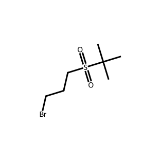 CC(C)(C)S(=O)(=O)CCCBr